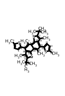 Cc1ccc(-c2c(C)c3c4sc(C(C)(C)C)c(C)c4c(-c4ccc(C)s4)c(C)c3c3sc(C(C)(C)C)c(C)c23)s1